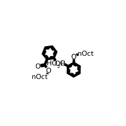 CCCCCCCCOC(=O)c1ccccc1O.CCCCCCCCOc1ccccc1C(=O)O